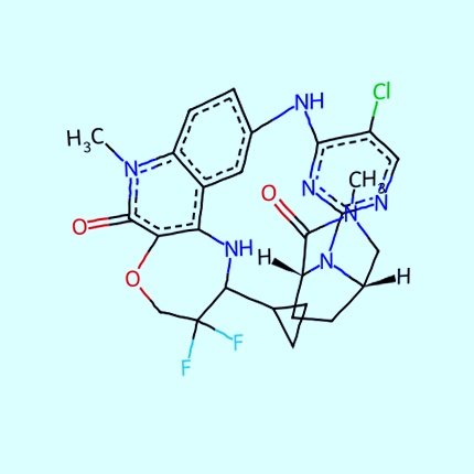 CN1C[C@@H]2CC[C@H](C1=O)N2c1ncc(Cl)c(Nc2ccc3c(c2)c2c(c(=O)n3C)OCC(F)(F)C(C3CC3)N2)n1